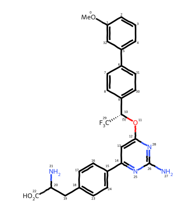 COc1cccc(-c2ccc([C@H](Oc3cc(-c4ccc(CC(N)C(=O)O)cc4)nc(N)n3)C(F)(F)F)cc2)c1